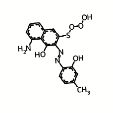 Cc1ccc(N=Nc2c(SOOO)cc3cccc(N)c3c2O)c(O)c1